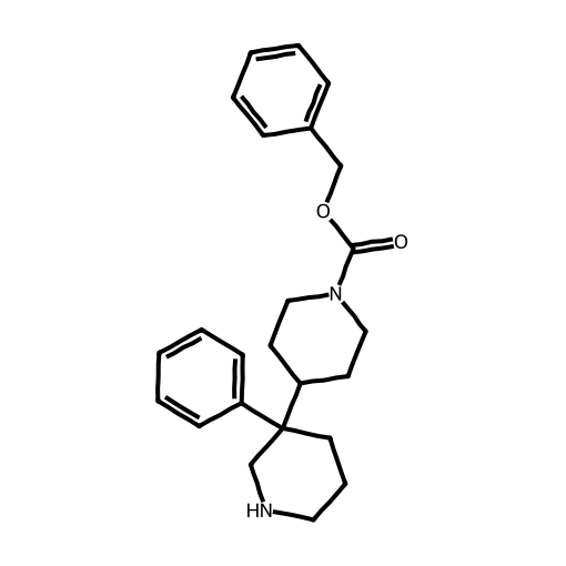 O=C(OCc1ccccc1)N1CCC(C2(c3ccccc3)CCCNC2)CC1